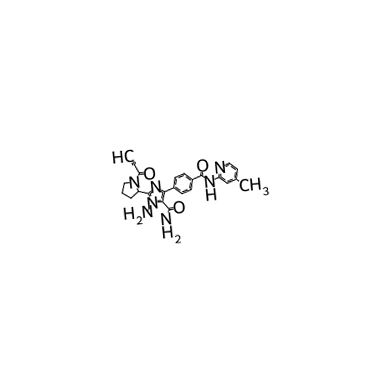 C#CC(=O)N1CCCC1c1nc(-c2ccc(C(=O)Nc3cc(C)ccn3)cc2)c(C(N)=O)n1N